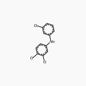 Clc1cccc(Nc2ccc(Cl)c(Cl)c2)c1